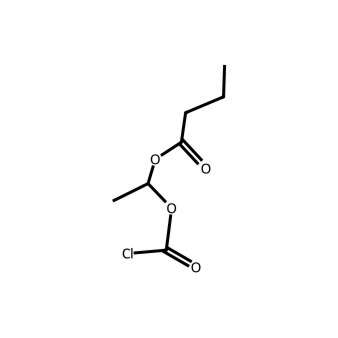 CCCC(=O)OC(C)OC(=O)Cl